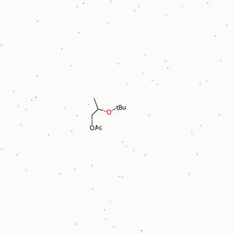 CC(=O)OCC(C)OC(C)(C)C